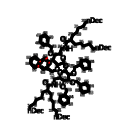 CCCCCCCCCCCCCCCC(CCCCCCCCCCCCCCC)C(=O)NCC1O[C@H](O[C@H]2OC(CNC(=O)C(CCCCCCCCCCCCCCC)CCCCCCCCCCCCCCC)[C@@H](OCc3ccccc3)[C@@H](OCc3ccccc3)C2OCc2ccccc2)C(OCc2ccccc2)[C@H](OCc2ccccc2)[C@@H]1OCc1ccccc1